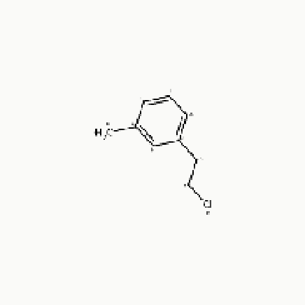 [CH2]c1cccc(CCCl)c1